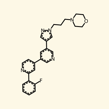 Fc1ccccc1-c1cc(-c2cncc(-c3cnn(CCCN4CCOCC4)c3)c2)ccn1